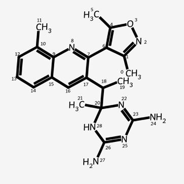 Cc1noc(C)c1-c1nc2c(C)cccc2cc1C(C)C1(C)N=C(N)N=C(N)N1